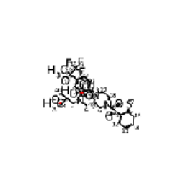 CC1(CN(C[C@H]2CN(S(=O)(=O)C3=CC=CCC3=S)CCN2c2ccc(C(C)(O)C(F)(F)F)cc2)S(C)(=O)=O)COC1